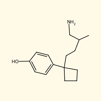 CC(CN)CCC1(c2ccc(O)cc2)CCC1